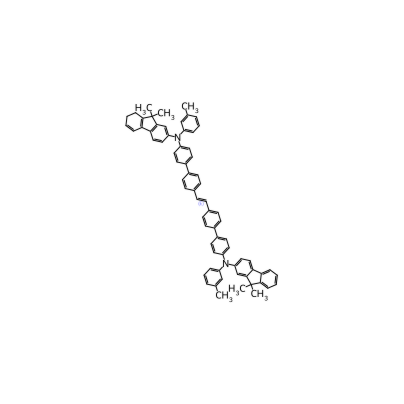 Cc1cccc(N(c2ccc(-c3ccc(/C=C/c4ccc(-c5ccc(N(c6cccc(C)c6)c6ccc7c(c6)C(C)(C)c6ccccc6-7)cc5)cc4)cc3)cc2)c2ccc3c(c2)C(C)(C)C2=C3C=CCC2)c1